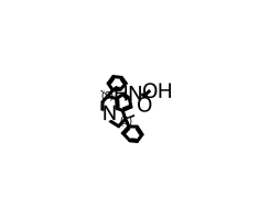 C[C@@]1(c2ccccc2)CCN2CC[C@@](C)(c3ccccc3)c3cc(NC(=O)O)cc1c32